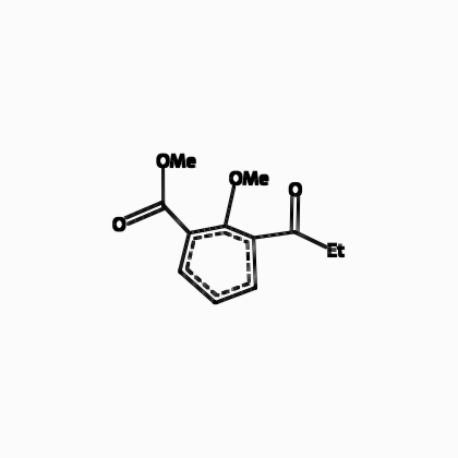 CCC(=O)c1cccc(C(=O)OC)c1OC